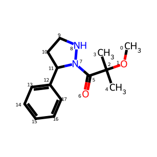 COC(C)(C)C(=O)N1NCCC1c1ccccc1